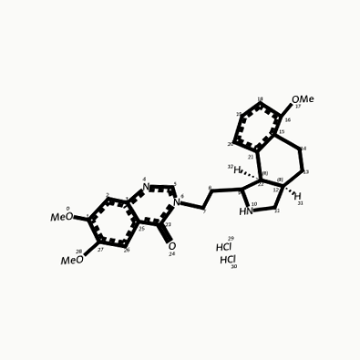 COc1cc2ncn(CCC3NC[C@@H]4CCc5c(OC)cccc5[C@H]34)c(=O)c2cc1OC.Cl.Cl